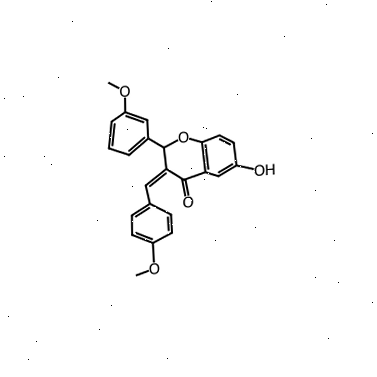 COc1ccc(C=C2C(=O)c3cc(O)ccc3OC2c2cccc(OC)c2)cc1